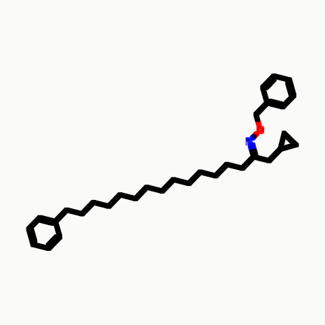 c1ccc(CCCCCCCCCCCCCCC(CC2CC2)=NOCc2ccccc2)cc1